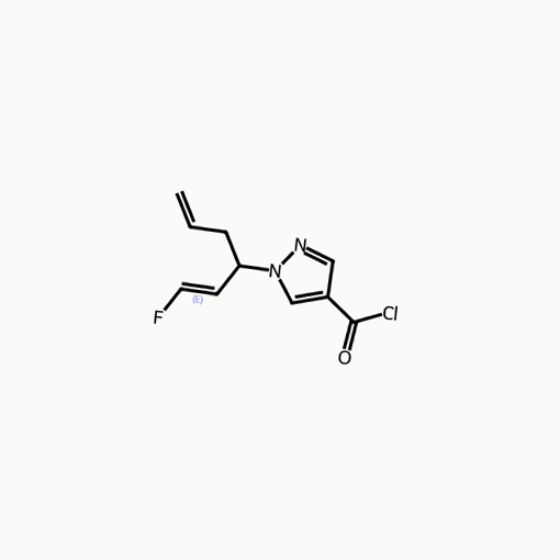 C=CCC(/C=C/F)n1cc(C(=O)Cl)cn1